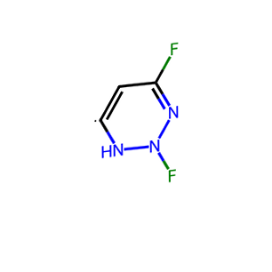 FC1=NN(F)N[C]=C1